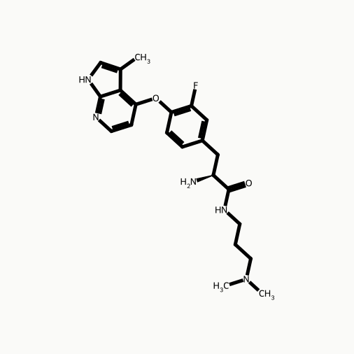 Cc1c[nH]c2nccc(Oc3ccc(C[C@H](N)C(=O)NCCCN(C)C)cc3F)c12